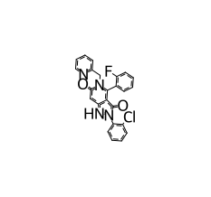 O=c1c2c(-c3ccccc3F)n(Cc3ccccn3)c(=O)cc2[nH]n1-c1ccccc1Cl